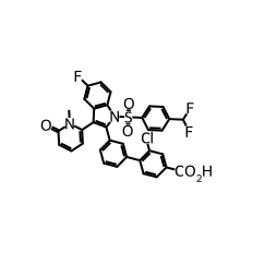 Cn1c(-c2c(-c3cccc(-c4ccc(C(=O)O)cc4Cl)c3)n(S(=O)(=O)c3ccc(C(F)F)cc3)c3ccc(F)cc23)cccc1=O